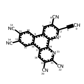 C#Cc1nc2c(cc1C#N)c1cc(C#N)c(C#N)cc1c1cc(C#N)c(C#N)nc12